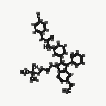 COc1ccc2c(n1)c(-c1ccccn1)c(-c1ccnc(NC(=O)Cc3ccc(F)cc3)c1)n2COCC[Si](C)(C)C